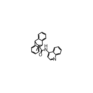 CC1(C(=O)Nc2ccnc3ccccc23)CC2c3ccccc3C1c1ccccc12